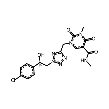 CNC(=O)c1cn(Cc2nnn(C[C@H](O)c3ccc(Cl)cc3)n2)c(=O)n(C)c1=O